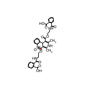 CC1=C(C(=O)OCCNC(=O)c2ccccc2C(=O)O)C(c2ccccc2[N+](=O)[O-])C(C(=O)OCCNC(=O)c2ccccc2C(=O)O)=C(C)N1